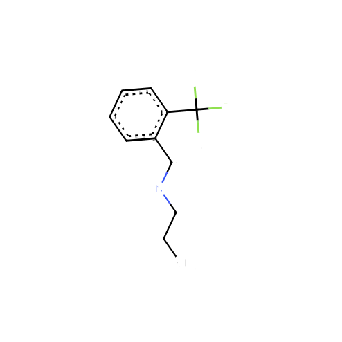 CCCNCc1ccccc1C(F)(F)F